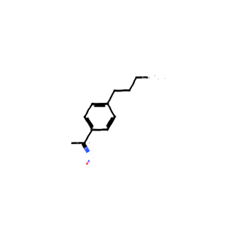 CCCCCCCCCCCCc1ccc(C(=NO)C(C)C)cc1